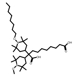 CCCCCCCCON1C(C)(C)CC(C(CCCCCCCC(=O)O)(C(=O)O)C2CC(C)(C)N(OC)C(C)(C)C2)CC1(C)C